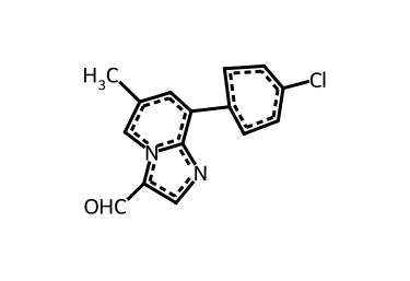 Cc1cc(-c2ccc(Cl)cc2)c2ncc(C=O)n2c1